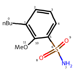 CCCCc1cccc(S(N)(=O)=O)c1OC